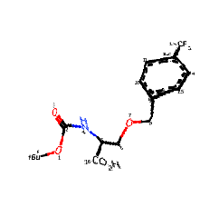 CC(C)(C)OC(=O)NC(COCc1ccc(C(F)(F)F)cc1)C(=O)O